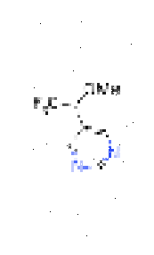 COC(c1cncnc1)C(F)(F)F